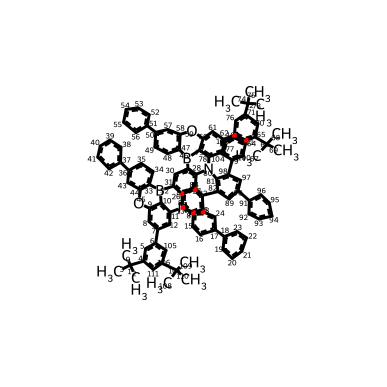 CC(C)(C)c1cc(-c2cc3c4c(c2)N(c2ccc(-c5ccccc5)cc2)c2cc5c(cc2B4c2ccc(-c4ccccc4)cc2O3)B2c3ccc(-c4ccccc4)cc3Oc3cc(-c4cc(C(C)(C)C)cc(C(C)(C)C)c4)cc(c32)N5c2c(-c3ccccc3)cc(-c3ccccc3)cc2-c2ccccc2)cc(C(C)(C)C)c1